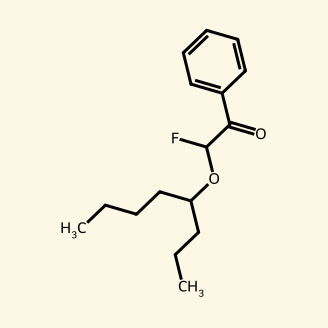 CCCCC(CCC)OC(F)C(=O)c1ccccc1